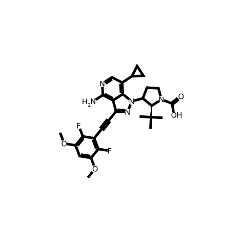 COc1cc(OC)c(F)c(C#Cc2nn(C3CCN(C(=O)O)[C@H]3C(C)(C)C)c3c(C4CC4)cnc(N)c23)c1F